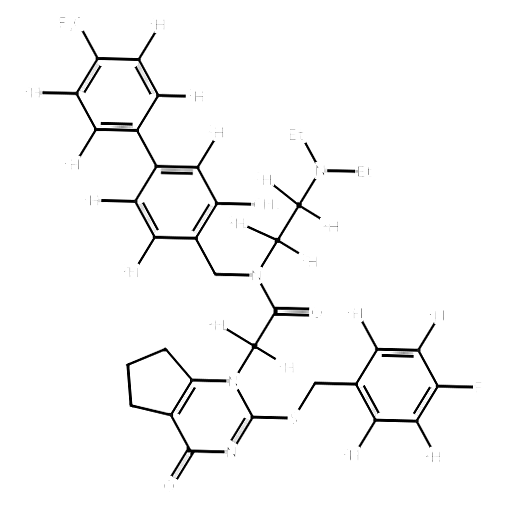 [2H]c1c([2H])c(CSc2nc(=O)c3c(n2C([2H])([2H])C(=O)N(Cc2c([2H])c([2H])c(-c4c([2H])c([2H])c(C(F)(F)F)c([2H])c4[2H])c([2H])c2C)C([2H])([2H])C([2H])([2H])N(CC)CC)CCC3)c([2H])c([2H])c1F